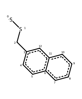 [S]SCc1ccc2ccccc2c1